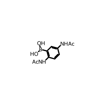 CC(=O)Nc1ccc(NC(C)=O)c(B(O)O)c1